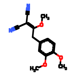 COC(Cc1ccc(OC)c(OC)c1)=C(C#N)C#N